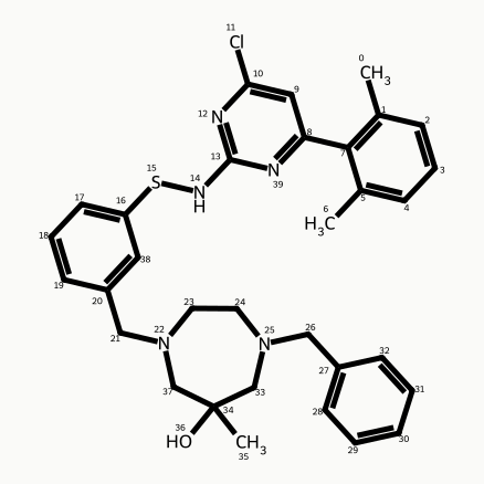 Cc1cccc(C)c1-c1cc(Cl)nc(NSc2cccc(CN3CCN(Cc4ccccc4)CC(C)(O)C3)c2)n1